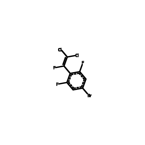 FC(=C(Cl)Cl)c1c(F)cc(Br)cc1F